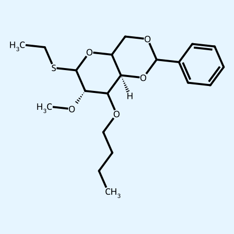 CCCCOC1[C@@H]2OC(c3ccccc3)OCC2OC(SCC)[C@H]1OC